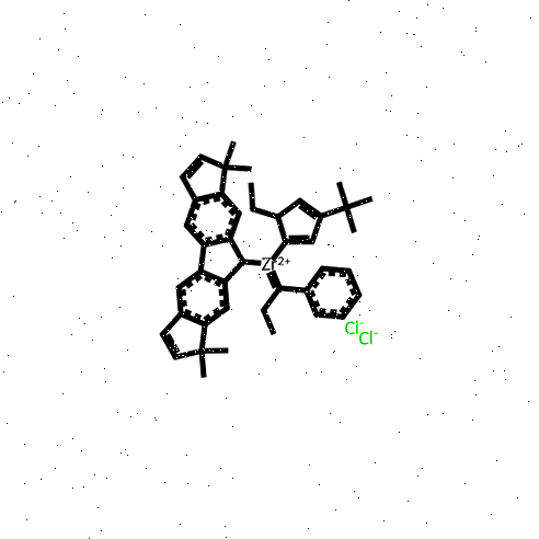 CC/[C](c1ccccc1)=[Zr+2](/[C]1=CC(C(C)(C)C)=CC1CC)[CH]1c2cc3c(cc2-c2cc4c(cc21)C(C)(C)C=C4)C=CC3(C)C.[Cl-].[Cl-]